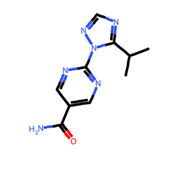 CC(C)c1ncnn1-c1ncc(C(N)=O)cn1